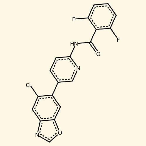 O=C(Nc1ccc(-c2cc3ocnc3cc2Cl)cn1)c1c(F)cccc1F